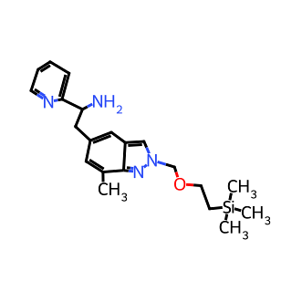 Cc1cc(CC(N)c2ccccn2)cc2cn(COCC[Si](C)(C)C)nc12